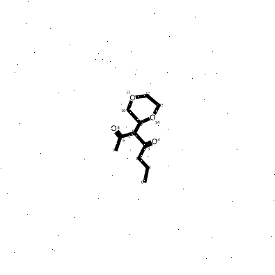 CCCC(=O)C(C(C)=O)C1COCCO1